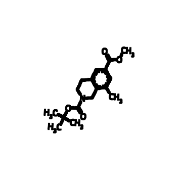 COC(=O)c1cc(C)c2c(c1)CCN(C(=O)OC(C)(C)C)C2